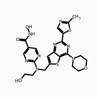 Cc1ncc(-c2nc(N3CCOCC3)c3sc(CN(CCO)c4ncc(C(=O)NO)cn4)cc3n2)s1